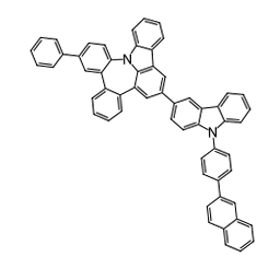 c1ccc(-c2ccc3c(c2)-c2ccccc2-c2cc(-c4ccc5c(c4)c4ccccc4n5-c4ccc(-c5ccc6ccccc6c5)cc4)cc4c5ccccc5n-3c24)cc1